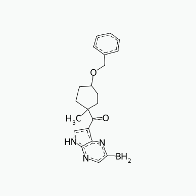 Bc1cnc2[nH]cc(C(=O)C3(C)CCC(OCc4ccccc4)CC3)c2n1